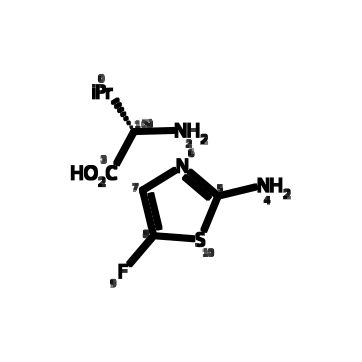 CC(C)[C@H](N)C(=O)O.Nc1ncc(F)s1